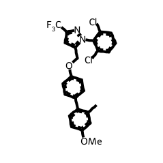 COc1ccc(-c2ccc(OCc3cc(C(F)(F)F)nn3-c3c(Cl)cccc3Cl)cc2)c(C)c1